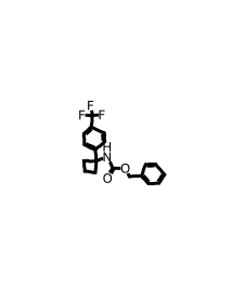 O=C(NC1(c2ccc(C(F)(F)F)cc2)CCC1)OCc1ccccc1